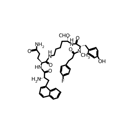 CN(C(=O)CCc1ccc(F)cc1)[C@@H](Cc1ccc(O)cc1)C(=O)N[C@@H]([C]=O)CCCCNC(=O)[C@H](CCC(N)=O)NC(=O)[C@@H](N)Cc1cccc2ccccc12